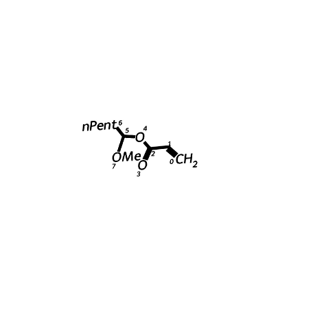 C=CC(=O)OC(CCCCC)OC